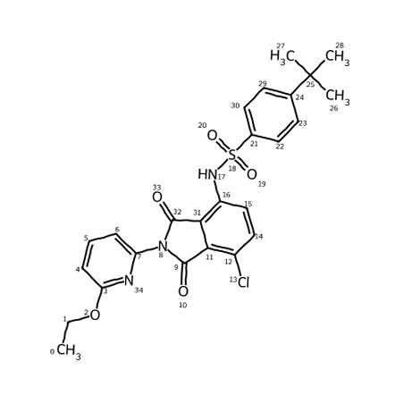 CCOc1cccc(N2C(=O)c3c(Cl)ccc(NS(=O)(=O)c4ccc(C(C)(C)C)cc4)c3C2=O)n1